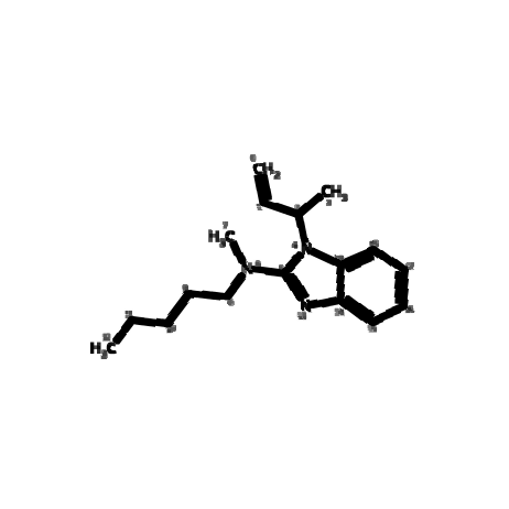 C=CC(C)n1c(N(C)CCCCC)nc2ccccc21